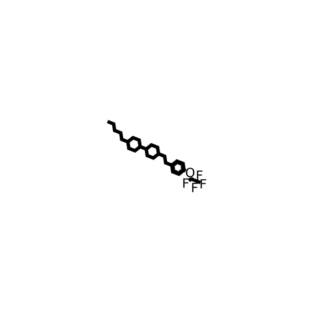 CCCCCC1CCC(C2CCC(CCc3ccc(OC(F)C(F)(F)F)cc3)CC2)CC1